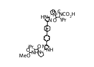 COC(=O)N[C@H](C(=O)N1CCC[C@H]1c1nc(-c2ccc(C34CCC(c5c[nH]c([C@@H]6CCCN6C(=O)[C@H](C(C)C)N(C)C(=O)O)n5)(CC3)CC4)cc2)c[nH]1)C(C)C